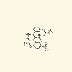 COC(=O)C1=C(C)NC(c2ccccc2)=C(C(=O)NCC(=O)OC(C)(C)C)C1c1cccc([N+](=O)[O-])c1